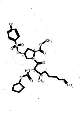 C=CCCCC[C@@H](C)[C@H](NC(=O)OC1CCCC1)C(=O)N1C[C@@H](OS(=O)(=O)c2ccc(Br)cc2)C[C@H]1C(=O)OC